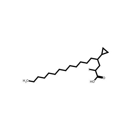 CCCCCCCCCCCCCC(CC(I)C(=O)O)C1CC1